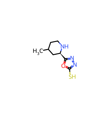 CC1CCN[C@@H](c2nnc(S)o2)C1